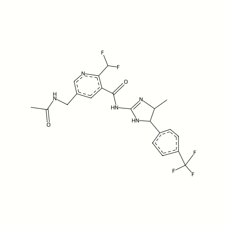 CC(=O)NCc1cnc(C(F)F)c(C(=O)NC2=NC(C)C(c3ccc(C(F)(F)F)cc3)N2)c1